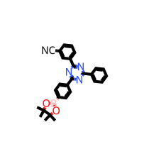 CC1(C)OB(c2ccc(-c3nc(-c4ccccc4)nc(-c4cccc(C#N)c4)n3)cc2)OC1(C)C